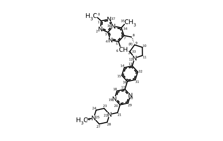 Cc1nc2nc(C)c(C[C@@H]3CCN(c4ccc(-c5cnc(CN6CCN(C)CC6)cn5)cc4)C3)c(C)n2n1